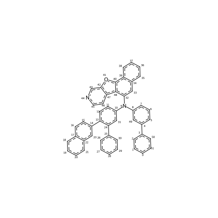 c1ccc(-c2cccc(N(c3ccc(-c4ccc5ccccc5c4)c(-c4ccccc4)c3)c3cc4ccccc4c4oc5cnccc5c34)c2)cc1